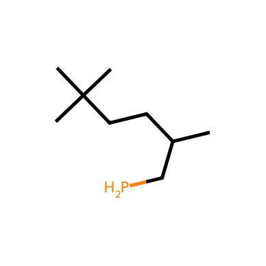 CC(CP)CCC(C)(C)C